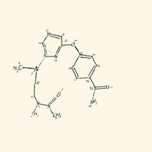 CC(=O)N(C)CCN(C)c1cncc(Oc2ccc(C(N)=O)cc2)n1